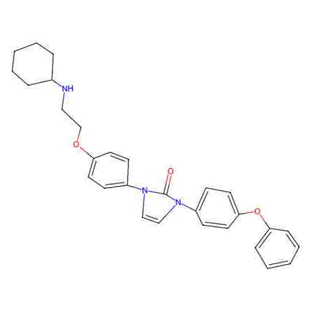 O=c1n(-c2ccc(OCCNC3CCCCC3)cc2)ccn1-c1ccc(Oc2ccccc2)cc1